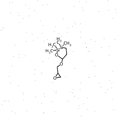 C[Si]1(C)CCC(OCC2CO2)O[Si]1(C)C